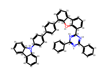 c1ccc(-c2nc(-c3ccccc3)nc(-c3cccc4c3oc3c(-c5ccc(-c6ccc(-n7c8ccccc8c8ccccc87)cc6)cc5)cccc34)n2)cc1